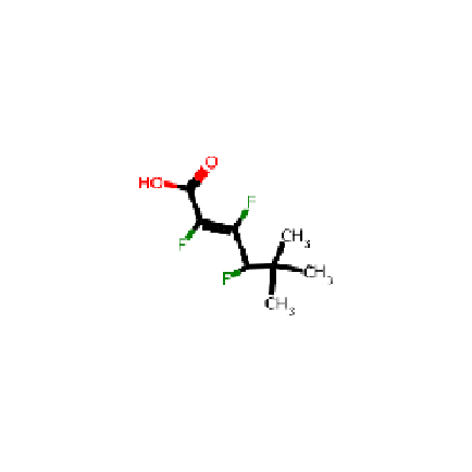 CC(C)(C)C(F)C(F)=C(F)C(=O)O